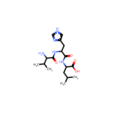 CC(C)CC(NC(=O)C(Cc1c[nH]cn1)NC(=O)C(N)C(C)C)C(=O)O